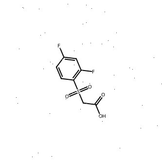 O=C(O)CS(=O)(=O)c1ccc(F)cc1F